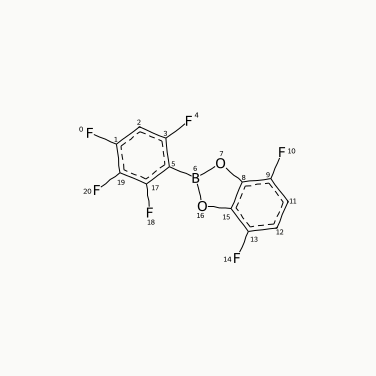 Fc1cc(F)c(B2Oc3c(F)ccc(F)c3O2)c(F)c1F